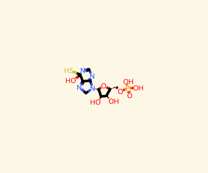 O=P(O)(O)OC[C@H]1O[C@@H](N2CN=C3C2=NC=NC3(O)S)[C@H](O)[C@@H]1O